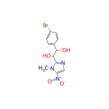 Cn1c([N+](=O)[O-])cnc1C(O)C(O)c1ccc(Br)cc1